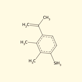 C=C(C)c1ccc([SiH3])c(C)c1C